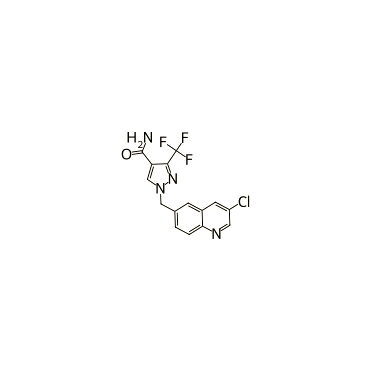 NC(=O)c1cn(Cc2ccc3ncc(Cl)cc3c2)nc1C(F)(F)F